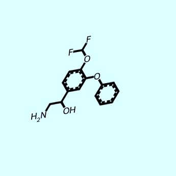 NCC(O)c1ccc(OC(F)F)c(Oc2ccccc2)c1